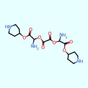 NC(OC(=O)C(=O)OC(N)C(=O)OC1CCNCC1)C(=O)OC1CCNCC1